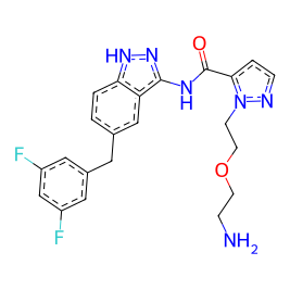 NCCOCCn1nccc1C(=O)Nc1n[nH]c2ccc(Cc3cc(F)cc(F)c3)cc12